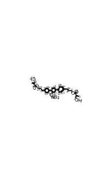 C=C(CO)C(=O)OCCCc1ccc(-c2ccc(-c3ccc(CCCOC(=O)C(=C)CO)cc3)c(OCCCC)c2)cc1